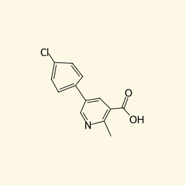 Cc1ncc(-c2ccc(Cl)cc2)cc1C(=O)O